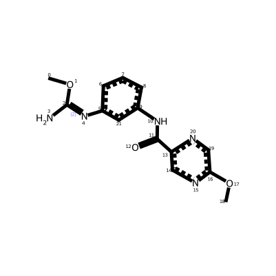 CO/C(N)=N\c1cccc(NC(=O)c2cnc(OC)cn2)c1